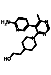 Cc1ncnc(N2CCC(CCO)CC2)c1-c1ccc(N)nc1